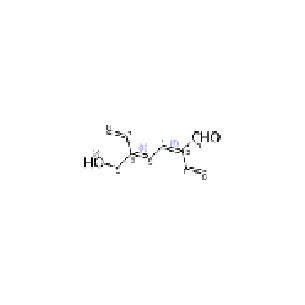 C=C/C(C=O)=C\C=C(/C=C)CO